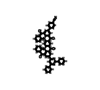 N#Cc1ccc(-c2cc3c(=O)c4ccccc4n4c5cc6c(cc5c(=O)c(c2)c34)c(=O)c2cc(-c3cc(-c4ccccc4)nc(-c4ccccc4)n3)cc3c(=O)c4ccccc4n6c32)cc1